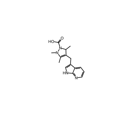 CC1=C(Cc2c[nH]c3ncccc23)C(C)N(C(=O)O)N1C